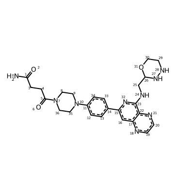 NC(=O)CCC(=O)N1CCN(c2ccc(-c3cc4nccnc4c(NCC4NNCCO4)n3)cc2)CC1